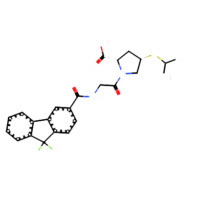 CC(C)S[C@@H]1C[C@@H](C(=O)O)N(C(=O)CNC(=O)c2ccc3c(c2)-c2ccccc2C3(F)F)C1